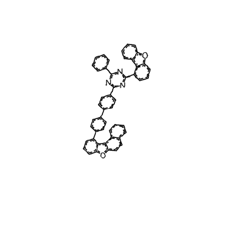 c1ccc(-c2nc(-c3ccc(-c4ccc(-c5cccc6oc7ccc8ccccc8c7c56)cc4)cc3)nc(-c3cccc4oc5ccccc5c34)n2)cc1